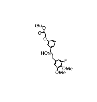 COc1cc(CC[C@@H](O)c2cccc(OCC(=O)OC(C)(C)C)c2)cc(F)c1OC